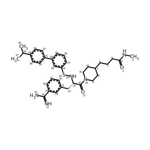 CNC(=O)CCCC1CCN(C(=O)[C@H](Cc2cccc(C(=N)N)c2)NSc2cccc(-c3ccc(C(C)C)cc3)c2)CC1